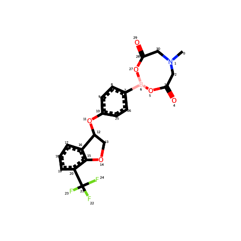 CN1CC(=O)OB(c2ccc(OC3COc4c3cccc4C(F)(F)F)cc2)OC(=O)C1